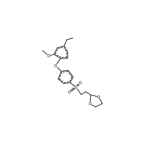 CCc1ccc(Oc2ccc(S(=O)(=O)CCC3OCCO3)cc2)c(OC)c1